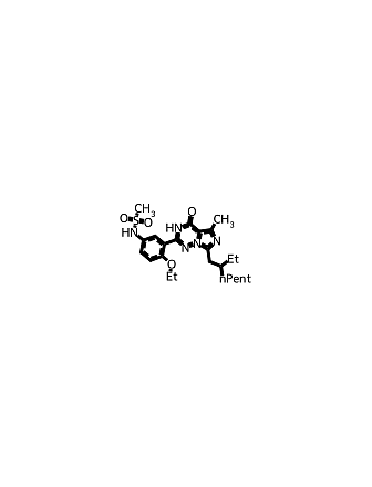 CCCCCC(CC)Cc1nc(C)c2c(=O)[nH]c(-c3cc(NS(C)(=O)=O)ccc3OCC)nn12